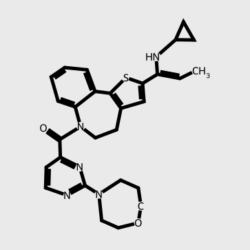 CC=C(NC1CC1)c1cc2c(s1)-c1ccccc1N(C(=O)c1ccnc(N3CCCOCC3)n1)CC2